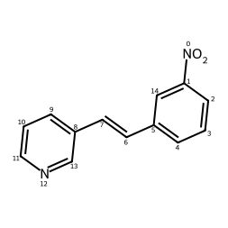 O=[N+]([O-])c1cccc(C=Cc2cccnc2)c1